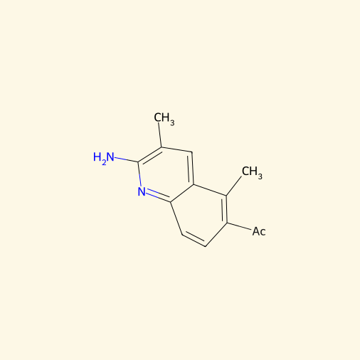 CC(=O)c1ccc2nc(N)c(C)cc2c1C